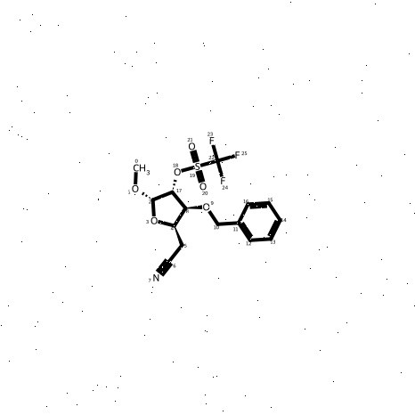 CO[C@H]1O[C@H](CC#N)[C@H](OCc2ccccc2)[C@H]1OS(=O)(=O)C(F)(F)F